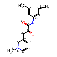 C=C/C=C(\C=CC)NC(=O)C(=O)CC1=CC=CN(C)C1